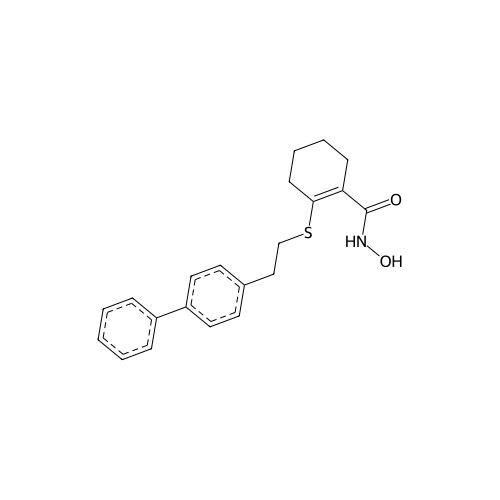 O=C(NO)C1=C(SCCc2ccc(-c3ccccc3)cc2)CCCC1